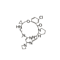 CN1CCNC2(CC2)COc2ccc(Cl)cc2C(=O)N2CCCC[C@H]2c2cc3nc(N4CCC4)cc1n3n2